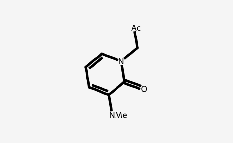 CNc1cccn(CC(C)=O)c1=O